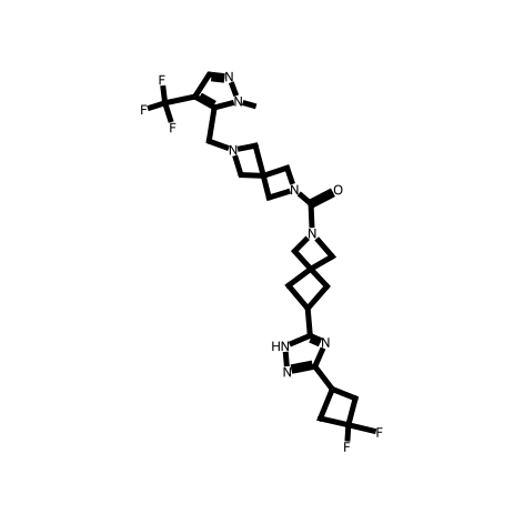 Cn1ncc(C(F)(F)F)c1CN1CC2(C1)CN(C(=O)N1CC3(CC(c4nc(C5CC(F)(F)C5)n[nH]4)C3)C1)C2